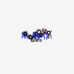 CCc1cccc(CC)c1NC(=O)c1nn(C)c2c1CCCc1cnc(Nc3ccc(NC4CN5CCC4CC5)cc3OC)nc1-2